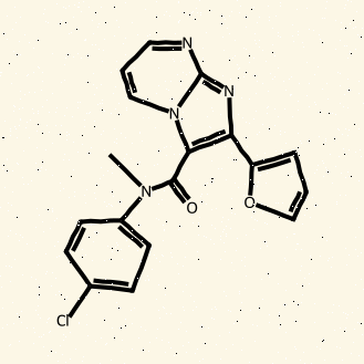 CN(C(=O)c1c(-c2ccco2)nc2ncccn12)c1ccc(Cl)cc1